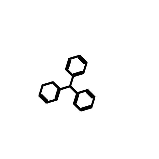 C1=CCCC(C(c2ccccc2)c2ccccc2)=C1